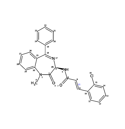 CN1C(=O)[C@H](NC(=O)/C=C/c2ccccc2Cl)N=C(c2ccccc2)c2ccccc21